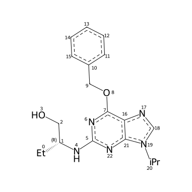 CC[C@H](CO)Nc1nc(OCc2ccccc2)c2ncn(C(C)C)c2n1